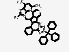 CCc1nc2c(C)cc(C)nc2n1Cc1c2ccocc-2c(Br)c1-c1ccccc1-c1nnn(C(c2ccccc2)(c2ccccc2)c2ccccc2)n1